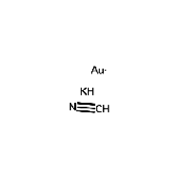 C#N.[Au].[KH]